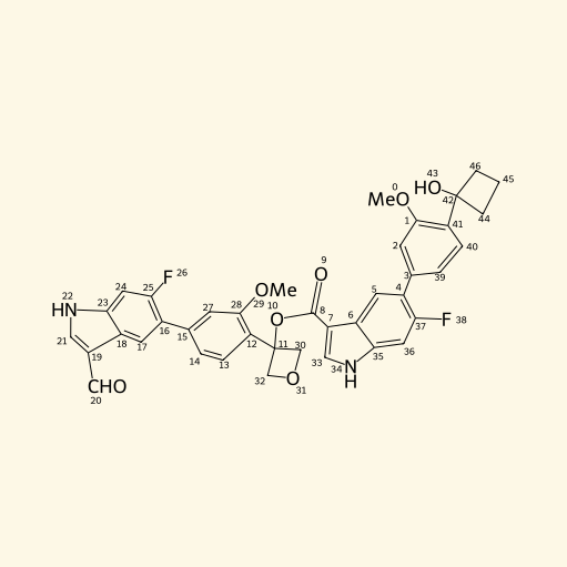 COc1cc(-c2cc3c(C(=O)OC4(c5ccc(-c6cc7c(C=O)c[nH]c7cc6F)cc5OC)COC4)c[nH]c3cc2F)ccc1C1(O)CCC1